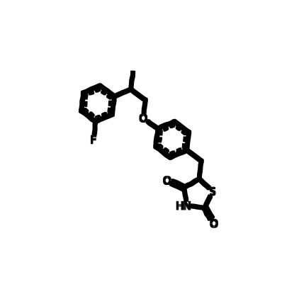 CC(COc1ccc(CC2SC(=O)NC2=O)cc1)c1cccc(F)c1